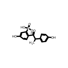 CC(C(=O)c1ccc(O)cc1P(=O)(O)O)c1ccc(O)cc1